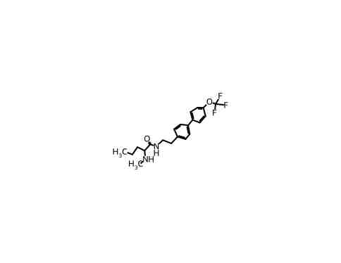 CCCC(NC)C(=O)NCCc1ccc(-c2ccc(OC(F)(F)F)cc2)cc1